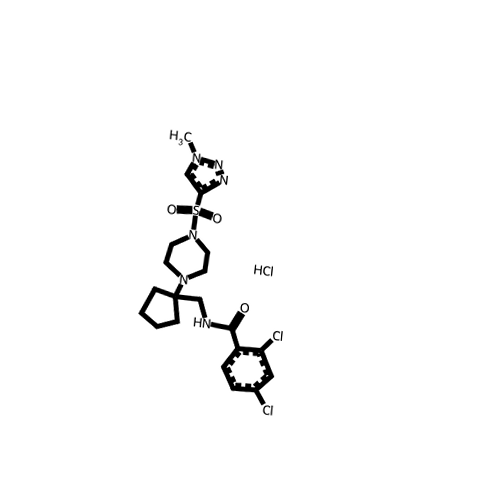 Cl.Cn1cc(S(=O)(=O)N2CCN(C3(CNC(=O)c4ccc(Cl)cc4Cl)CCCC3)CC2)nn1